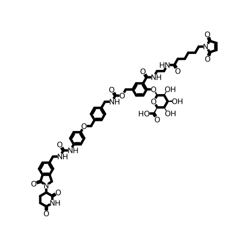 O=C(CCCCCN1C(=O)C=CC1=O)NCCNC(=O)c1cc(COC(=O)NCc2ccc(COc3ccc(NC(=O)NCc4ccc5c(c4)CN(C4CCC(=O)NC4=O)C5=O)cc3)cc2)ccc1O[C@@H]1O[C@H](C(=O)O)[C@@H](O)[C@H](O)[C@H]1O